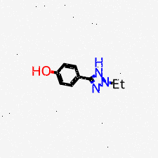 CCn1nc(-c2ccc(O)cc2)[nH]1